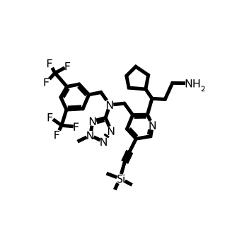 Cn1nnc(N(Cc2cc(C(F)(F)F)cc(C(F)(F)F)c2)Cc2cc(C#C[Si](C)(C)C)cnc2C(CCN)C2CCCC2)n1